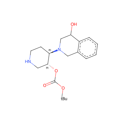 CC(C)(C)OC(=O)O[C@@H]1CNCC[C@H]1N1Cc2ccccc2C(O)C1